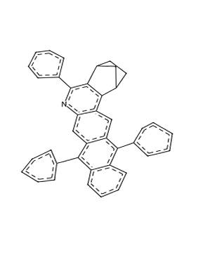 c1ccc(-c2nc3cc4c(-c5ccccc5)c5ccccc5c(-c5ccccc5)c4cc3c3c2C2CCC3C2)cc1